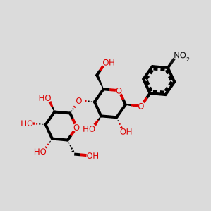 O=[N+]([O-])c1ccc(O[C@@H]2O[C@H](CO)[C@@H](O[C@@H]3O[C@H](CO)[C@H](O)[C@H](O)[C@H]3O)[C@H](O)[C@H]2O)cc1